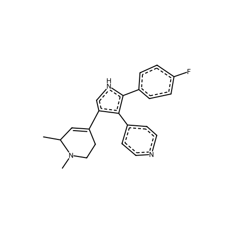 CC1C=C(c2c[nH]c(-c3ccc(F)cc3)c2-c2ccncc2)CCN1C